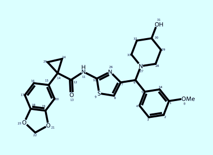 COc1cccc(C(c2csc(NC(=O)C3(c4ccc5c(c4)OCO5)CC3)n2)N2CCC(O)CC2)c1